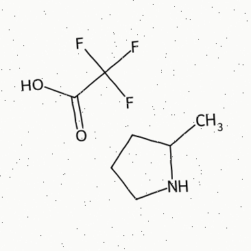 CC1CCCN1.O=C(O)C(F)(F)F